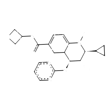 CC(=O)N1C2=CC=C(C(=O)NC3COC3)CC2[C@H](Nc2ncccn2)[C@@H](C)[C@@H]1C1CC1